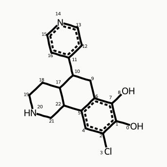 Oc1c(Cl)cc2c(c1O)CC(c1ccncc1)C1CCNCC21